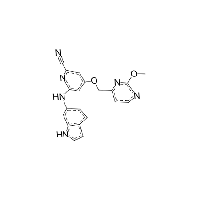 COc1nccc(COc2cc(C#N)nc(Nc3ccc4cc[nH]c4c3)c2)n1